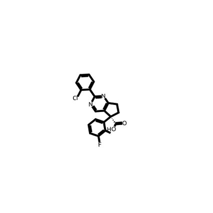 Cc1c(F)cccc1[C@]1(C(=O)O)CCc2nc(-c3ccccc3Cl)ncc21